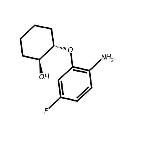 Nc1ccc(F)cc1O[C@H]1CCCC[C@@H]1O